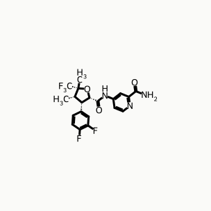 C[C@H]1[C@@H](c2ccc(F)c(F)c2)[C@@H](C(=O)Nc2ccnc(C(N)=O)c2)O[C@@]1(C)C(F)(F)F